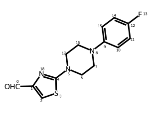 O=Cc1csc(N2CCN(c3ccc(F)cc3)CC2)n1